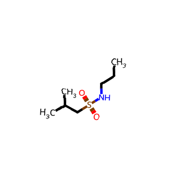 CCCNS(=O)(=O)CC(C)C